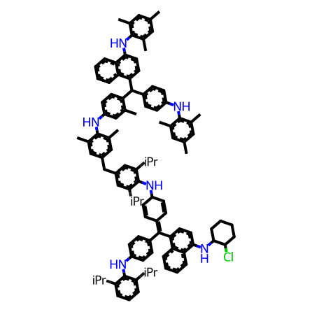 Cc1cc(C)c(Nc2ccc(C(c3ccc(Nc4c(C)cc(Cc5cc(C(C)C)c(NC6C=CC(=C(c7ccc(Nc8c(C(C)C)cccc8C(C)C)cc7)c7ccc(NC8CCCCC8Cl)c8ccccc78)C=C6)c(C(C)C)c5)cc4C)cc3C)c3ccc(Nc4c(C)cc(C)cc4C)c4ccccc34)cc2)c(C)c1